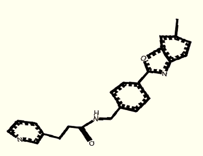 Cc1ccc2nc(-c3ccc(CNC(=O)CCc4cccnc4)cc3)oc2c1